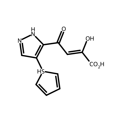 O=C(O)C(O)=CC(=O)c1[nH]ncc1[SH]1C=CC=C1